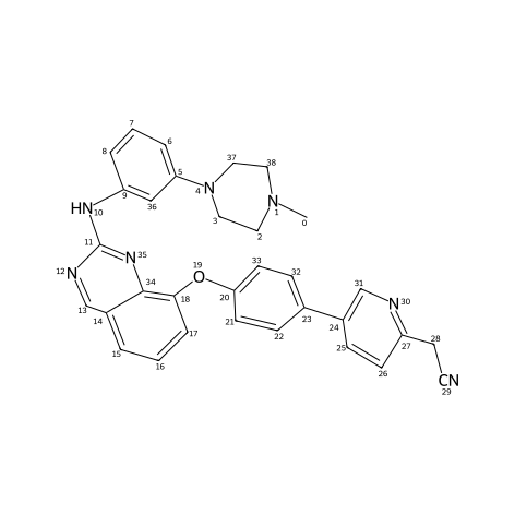 CN1CCN(c2cccc(Nc3ncc4cccc(Oc5ccc(-c6ccc(CC#N)nc6)cc5)c4n3)c2)CC1